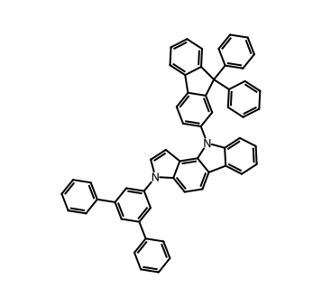 c1ccc(-c2cc(-c3ccccc3)cc(-n3ccc4c3ccc3c5ccccc5n(-c5ccc6c(c5)C(c5ccccc5)(c5ccccc5)c5ccccc5-6)c34)c2)cc1